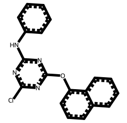 Clc1nc(Nc2ccccc2)nc(Oc2cccc3ccccc23)n1